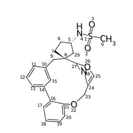 CS(=O)(=O)N[C@H]1CC[C@@]2(Cc3cccc(c3)-c3ccccc3OCc3coc2n3)C1